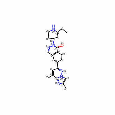 CC[C@H]1C[C@@H](n2ncc3cc(-c4cc(C)c5nc(C)cn5n4)ccc3c2=O)CCN1